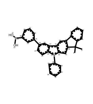 CC1(C)c2ccccc2-c2cc3c4cc(-c5cccc(B(O)O)c5)ccc4n(-c4ccccc4)c3cc21